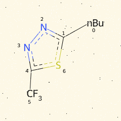 CCCCc1nnc(C(F)(F)F)s1